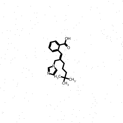 CC(C)(C)CCCC(=Cc1ccccc1C(=O)O)Cn1ccnc1